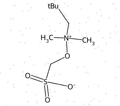 CC(C)(C)C[N+](C)(C)OCS(=O)(=O)[O-]